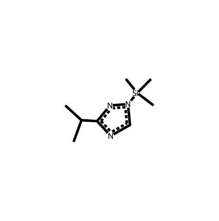 CC(C)c1ncn([Si](C)(C)C)n1